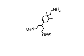 CNCCC(CCOC)C1=CCC(C)(CCN)C(C)C1